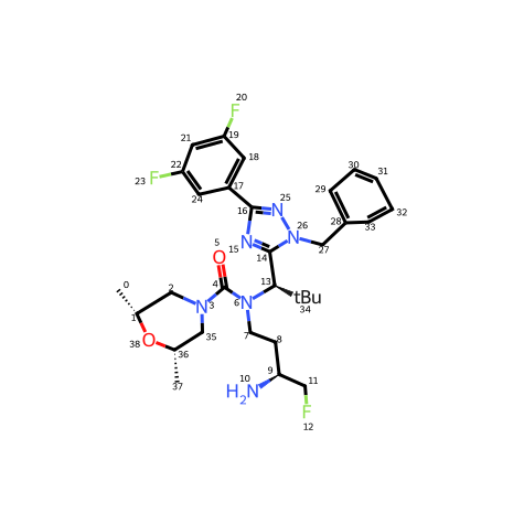 C[C@@H]1CN(C(=O)N(CC[C@H](N)CF)[C@@H](c2nc(-c3cc(F)cc(F)c3)nn2Cc2ccccc2)C(C)(C)C)C[C@H](C)O1